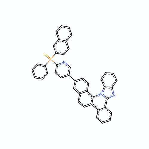 S=P(c1ccccc1)(c1ccc2ccccc2c1)c1ccc(-c2ccc3c(ccc4c5ccccc5c5nc6ccccc6n5c34)c2)cn1